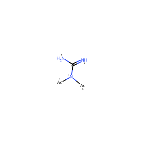 CC(=O)N(C(=N)N)C(C)=O